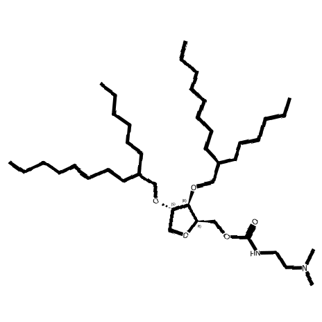 CCCCCCCCC(CCCCCC)CO[C@@H]1[C@@H](OCC(CCCCCC)CCCCCCCC)CO[C@@H]1COC(=O)NCCN(C)C